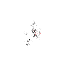 CC1(C)CC2(CC(C)(C)c3cc(OS(=O)(=O)c4cccc5c4C(N=[N+]=[N-])=C(N=[N+]=[N-])C(=O)C5=O)c(OS(=O)(=O)c4cccc5c4C(N=[N+]=[N-])=C(N=[N+]=[N-])C(=O)C5=O)c(OS(=O)(=O)c4cccc5c4C(N=[N+]=[N-])=C(N=[N+]=[N-])C(=O)C5=O)c32)c2c1cc(OS(=O)(=O)c1cccc3c1C(N=[N+]=[N-])=C(N=[N+]=[N-])C(=O)C3=O)c(O)c2O